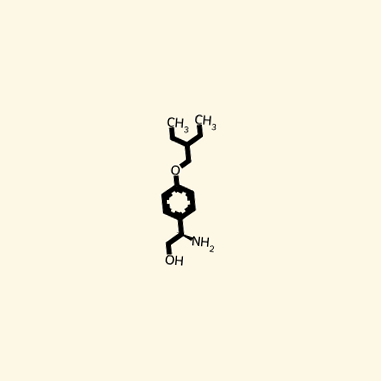 CCC(CC)COc1ccc([C@@H](N)CO)cc1